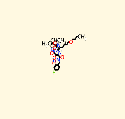 CCCCOCCCCC(c1nc(C(=O)NCc2ccc(F)cc2)c(O)c(=O)[nH]1)N(CC)C(=O)OC(C)(C)C